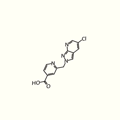 O=C(O)c1ccnc(Cn2cc3cc(Cl)cnc3n2)c1